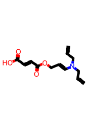 C=CCN(C=CCOC(=O)C=CC(=O)O)CC=C